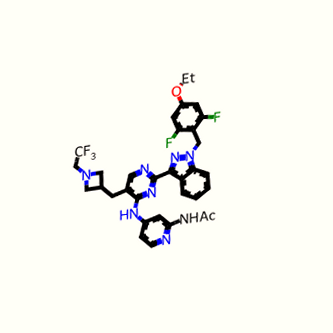 CCOc1cc(F)c(Cn2nc(-c3ncc(CC4CN(CC(F)(F)F)C4)c(Nc4ccnc(NC(C)=O)c4)n3)c3ccccc32)c(F)c1